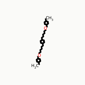 C=Cc1ccc(COCCCCCCc2ccc(CCCCCCOCc3ccc(CC)cc3)cc2)cc1